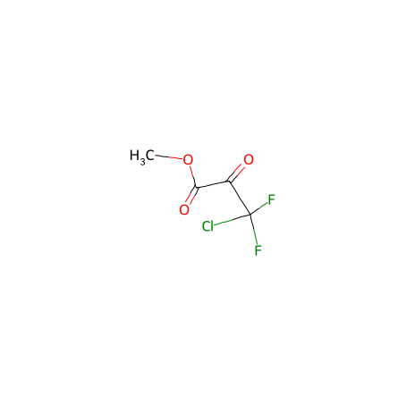 COC(=O)C(=O)C(F)(F)Cl